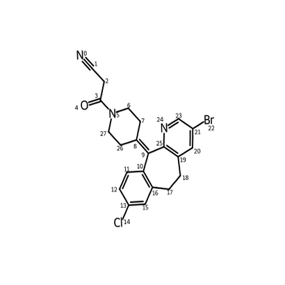 N#CCC(=O)N1CCC(=C2c3ccc(Cl)cc3CCc3cc(Br)cnc32)CC1